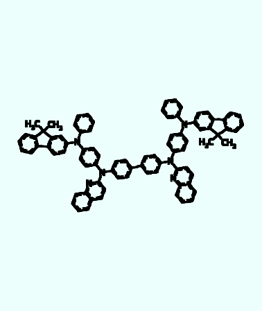 CC1(C)c2ccccc2-c2ccc(N(c3ccccc3)c3ccc(N(c4ccc(-c5ccc(N(c6ccc(N(c7ccccc7)c7ccc8c(c7)C(C)(C)c7ccccc7-8)cc6)c6ccc7ccccc7n6)cc5)cc4)c4ccc5ccccc5n4)cc3)cc21